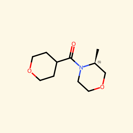 C[C@H]1COCCN1C(=O)C1CCOCC1